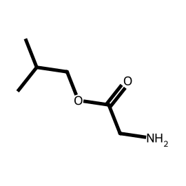 CC(C)COC(=O)CN